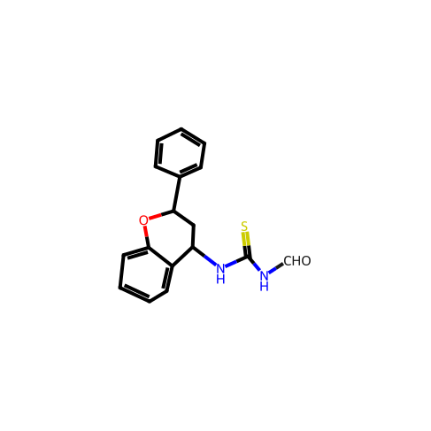 O=CNC(=S)NC1CC(c2ccccc2)Oc2ccccc21